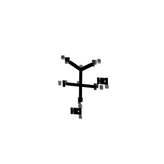 Cl.Cl.FC(F)C(F)(F)F